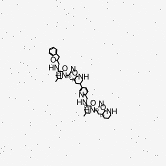 CC(C)C[C@H](NCc1ccc(C2CNC(=O)[C@H](C[C@@H](C#N)NC(=O)[C@H](CC(C)C)NCC3Cc4ccccc4O3)C2)cn1)C(=O)N[C@H](C#N)C[C@@H]1CCCNC1=O